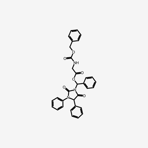 O=C(CNC(=O)OCc1ccccc1)OC(c1ccccc1)N1C(=O)C(c2ccccc2)N(c2ccccc2)C1=O